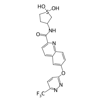 O=C(NC1CCS(O)(O)C1)c1ccc2cc(Oc3ccc(C(F)(F)F)nn3)ccc2n1